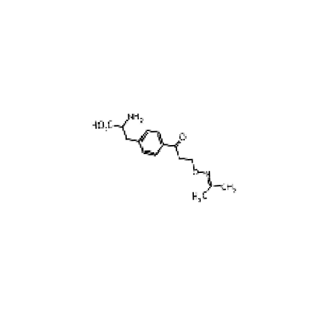 CC(C)=NOCCC(=O)c1ccc(CC(N)C(=O)O)cc1